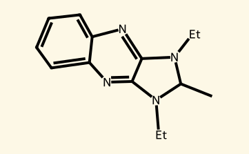 CCN1c2nc3ccccc3nc2N(CC)C1C